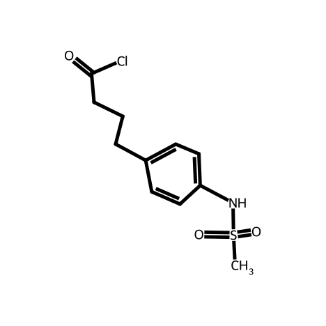 CS(=O)(=O)Nc1ccc(CCCC(=O)Cl)cc1